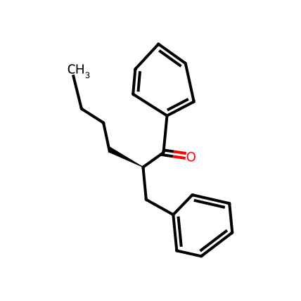 CCCC[C@H](Cc1ccccc1)C(=O)c1ccccc1